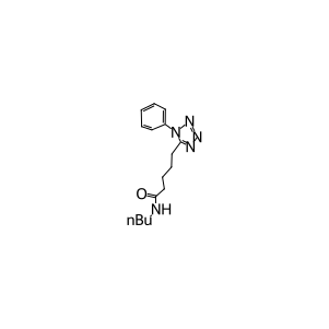 CCCCNC(=O)CCCCc1nnnn1-c1ccccc1